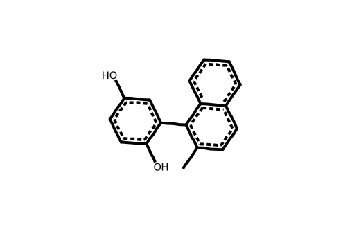 Cc1ccc2ccccc2c1-c1cc(O)ccc1O